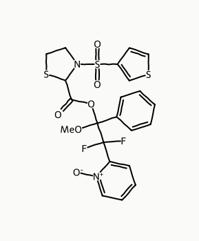 COC(OC(=O)C1SCCN1S(=O)(=O)c1ccsc1)(c1ccccc1)C(F)(F)c1cccc[n+]1[O-]